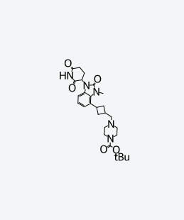 Cn1c(=O)n(C2CCC(=O)NC2=O)c2cccc(C3CC(CN4CCN(C(=O)OC(C)(C)C)CC4)C3)c21